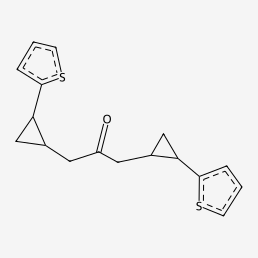 O=C(CC1CC1c1cccs1)CC1CC1c1cccs1